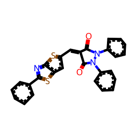 O=C1C(=Cc2cc3sc(-c4ccccc4)nc3s2)C(=O)N(c2ccccc2)N1c1ccccc1